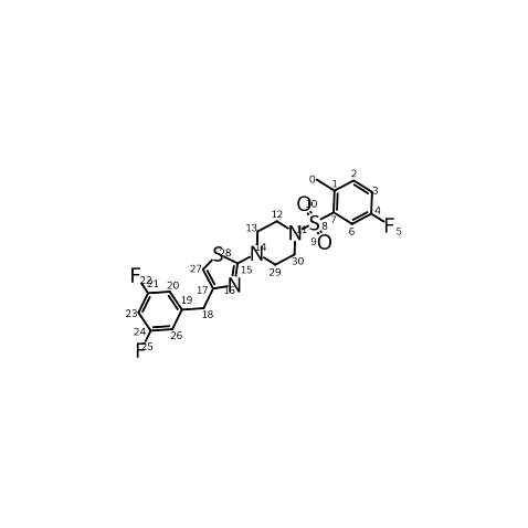 Cc1ccc(F)cc1S(=O)(=O)N1CCN(c2nc(Cc3cc(F)cc(F)c3)cs2)CC1